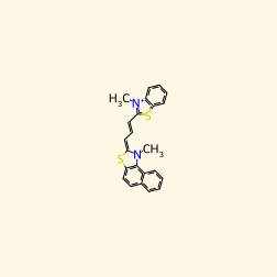 CN1C(=CC=Cc2sc3ccccc3[n+]2C)Sc2ccc3ccccc3c21